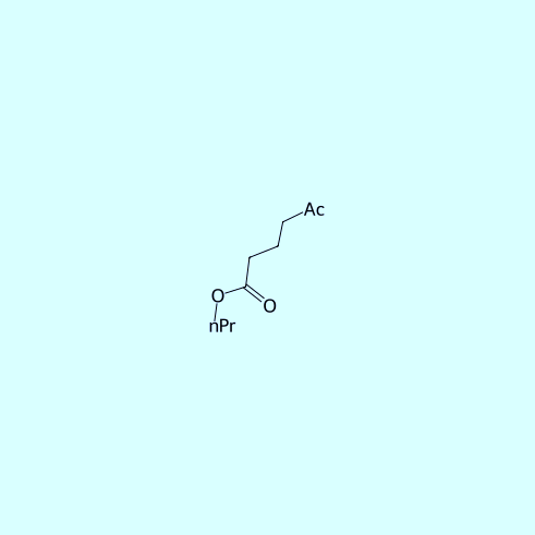 CCCOC(=O)CCCC(C)=O